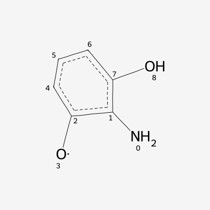 Nc1c([O])cccc1O